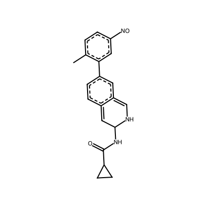 Cc1ccc(N=O)cc1-c1ccc2c(c1)=CNC(NC(=O)C1CC1)C=2